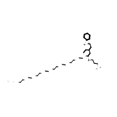 CCCN(CCCN(C)C)C1=C/C(=C/c2sc3ccccc3[n+]2C)C=CN1CCOCCOCCOCCOCCOCCOCCOCCOC